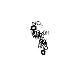 CC(OCc1ccc([N+](=O)[O-])cc1)OC1C(O)[C@@H](CO)O[C@H]1n1cnc2c(NC(=O)c3ccccc3)ncnc21